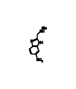 CC(C)(C)NCc1nc2ccc([N+](=O)[O-])cc2[nH]1